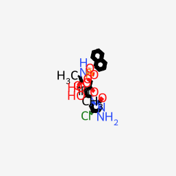 CC(C)OC(=O)[C@@H](C)NP(=O)(OC[C@H]1OC(n2cc(Cl)c(N)nc2=O)[C@](C)(O)[C@@H]1O)Oc1cccc2ccccc12